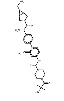 CC(C)(N)C(=O)N1CCN(C(=O)Nc2ccn(-c3ccc(C(N)C(=O)N4CC5C(CN)C5C4)cc3)c(=O)n2)CC1.Cl